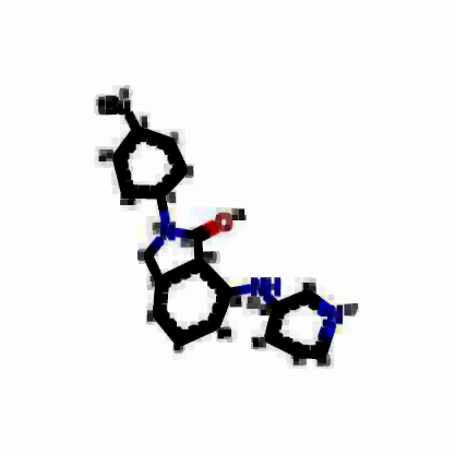 CC(C)(C)c1ccc(N2Cc3cccc(Nc4cccnc4)c3C2=O)cc1